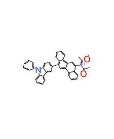 CO/C(C)=C(\C(C)=O)c1cc2c3ccccc3c(-c3ccc4c(c3)c3ccccc3n4-c3ccccc3)cc2c2ccccc12